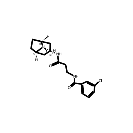 O=C(CCNC(=O)c1cccc(Cl)c1)N[C@@H]1C[C@H]2CC[C@@H](C1)N2C(=O)O